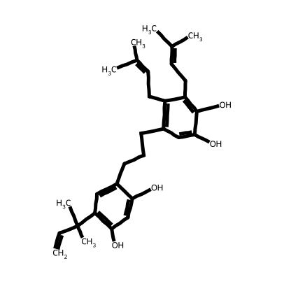 C=CC(C)(C)c1cc(CCCc2cc(O)c(O)c(CC=C(C)C)c2CC=C(C)C)c(O)cc1O